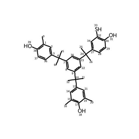 Cc1cc(C(C)(C)c2cc(C(C)(C)c3cc(C)c(O)c(C)c3)cc(C(C)(C)c3ccc(O)c(S)c3)c2)ccc1O